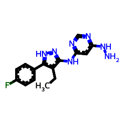 CCc1c(Nc2cc(NN)ncn2)n[nH]c1-c1ccc(F)cc1